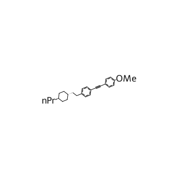 CCC[C@H]1CC[C@H](CCc2ccc(C#Cc3ccc(OC)cc3)cc2)CC1